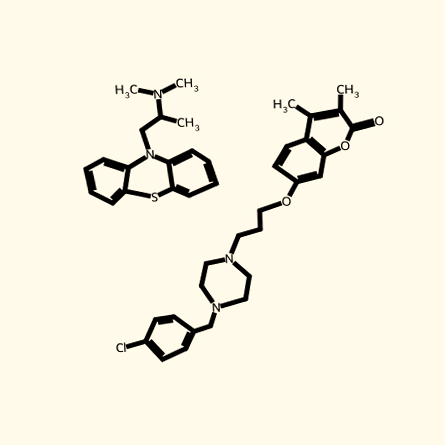 CC(CN1c2ccccc2Sc2ccccc21)N(C)C.Cc1c(C)c2ccc(OCCCN3CCN(Cc4ccc(Cl)cc4)CC3)cc2oc1=O